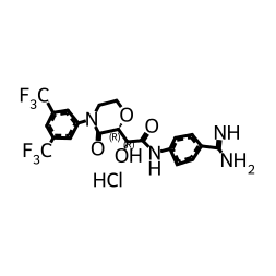 Cl.N=C(N)c1ccc(NC(=O)[C@H](O)[C@H]2OCCN(c3cc(C(F)(F)F)cc(C(F)(F)F)c3)C2=O)cc1